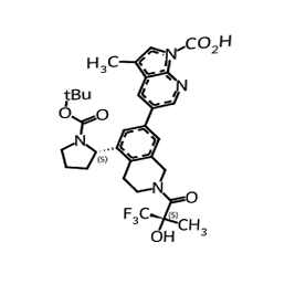 Cc1cn(C(=O)O)c2ncc(-c3cc4c(c([C@@H]5CCCN5C(=O)OC(C)(C)C)c3)CCN(C(=O)[C@](C)(O)C(F)(F)F)C4)cc12